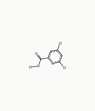 O=C(OCl)c1cc(Cl)cc(Cl)n1